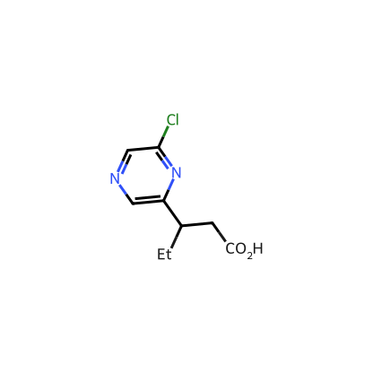 CCC(CC(=O)O)c1cncc(Cl)n1